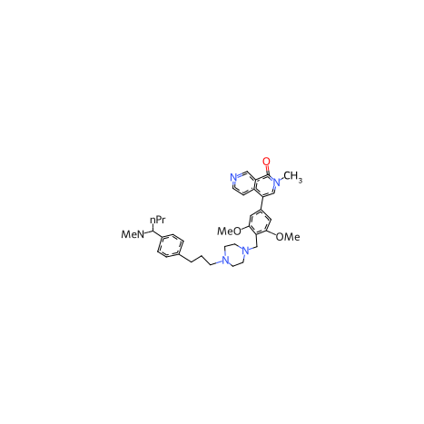 CCCC(NC)c1ccc(CCCN2CCN(Cc3c(OC)cc(-c4cn(C)c(=O)c5cnccc45)cc3OC)CC2)cc1